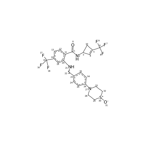 O=C(NC1C=C(C(F)(F)F)C1)c1ccc(C(F)(F)F)cc1NSc1ccc(N2CC[S+]([O-])CC2)cc1